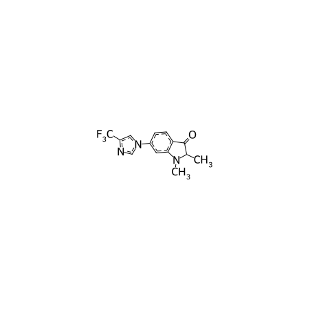 CC1C(=O)c2ccc(-n3cnc(C(F)(F)F)c3)cc2N1C